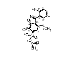 CCc1cc(S(=O)(=O)OC(C)=O)c(Cl)c2onc(-c3ccccc3F)c12